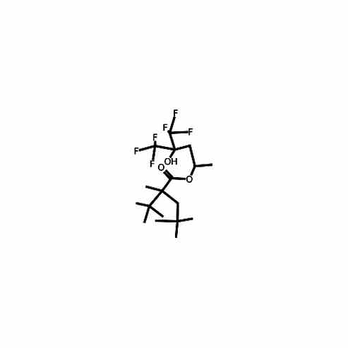 CC(CC(O)(C(F)(F)F)C(F)(F)F)OC(=O)C(C)(CC(C)(C)C)C(C)(C)C